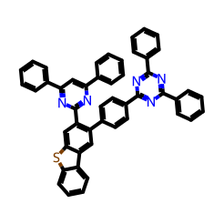 c1ccc(-c2cc(-c3ccccc3)nc(-c3cc4sc5ccccc5c4cc3-c3ccc(-c4nc(-c5ccccc5)nc(-c5ccccc5)n4)cc3)n2)cc1